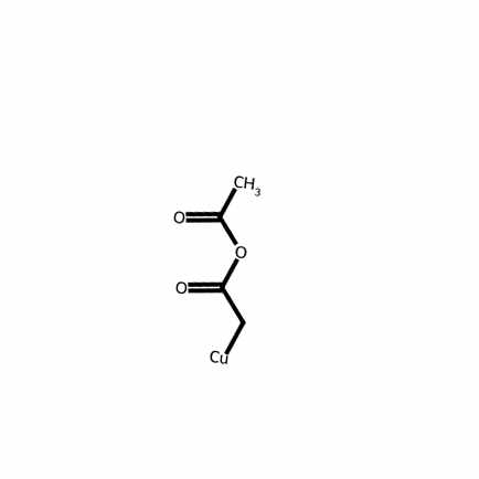 CC(=O)OC(=O)[CH2][Cu]